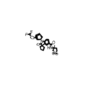 C[C@@]1(NC(=O)c2ccc3c(c2)C2(CCCC2)C(=O)N3c2cccc(OC(F)F)c2)CCS(=O)(=O)C1